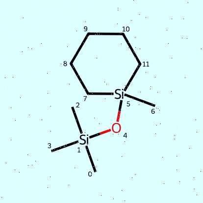 C[Si](C)(C)O[Si]1(C)CCCCC1